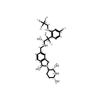 O[C@@H]1CCC(N2Cc3cc(CN[C@H](O)C(F)(F)c4ccc(F)cc4OCC(F)(F)F)ccc3[C@@H]2O)[C@H](O)N1